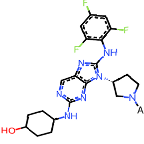 CC(=O)N1CC[C@@H](n2c(Nc3c(F)cc(F)cc3F)nc3cnc(NC4CCC(O)CC4)nc32)C1